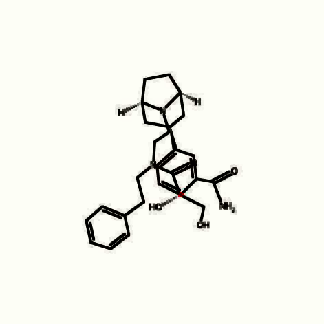 NC(=O)c1cccc([C@H]2C[C@H]3CC[C@@H](C2)N3CCN(CCc2ccccc2)C(=O)[C@@H](O)CO)c1